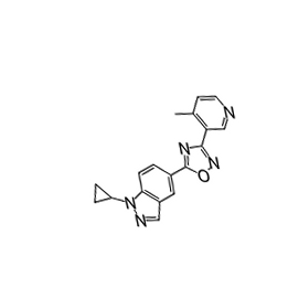 Cc1ccncc1-c1noc(-c2ccc3c(cnn3C3CC3)c2)n1